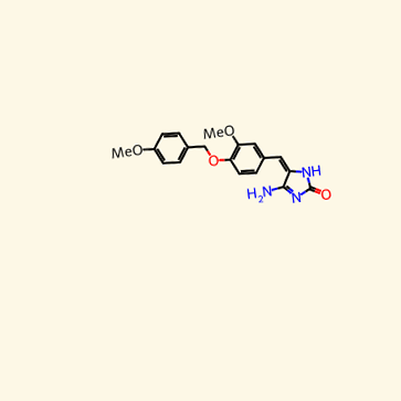 COc1ccc(COc2ccc(C=C3NC(=O)N=C3N)cc2OC)cc1